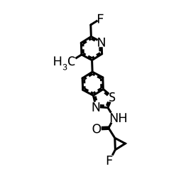 Cc1cc(CF)ncc1-c1ccc2nc(NC(=O)C3CC3F)sc2c1